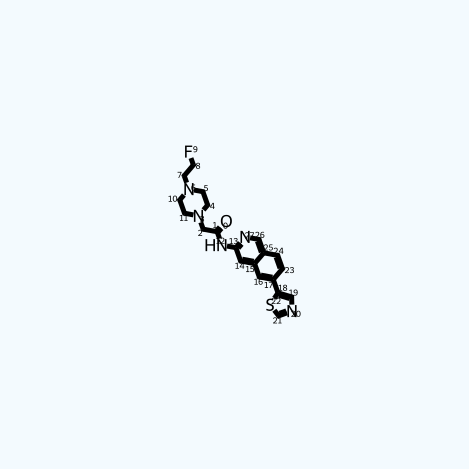 O=C(CN1CCN(CCF)CC1)Nc1cc2cc(-c3cncs3)ccc2cn1